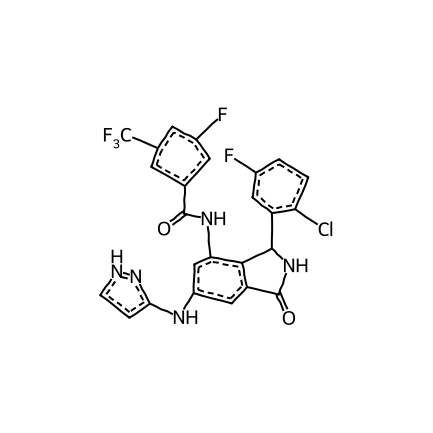 O=C(Nc1cc(Nc2cc[nH]n2)cc2c1C(c1cc(F)ccc1Cl)NC2=O)c1cc(F)cc(C(F)(F)F)c1